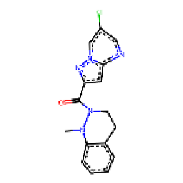 CN1c2ccccc2CCN1C(=O)c1cc2ncc(Cl)cn2n1